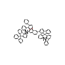 c1ccc(-c2ccccc2-c2ccccc2N(c2ccc3cc(-c4ccc5c(c4)C4(c6ccccc6-5)c5ccccc5-n5c6ccccc6c6cccc4c65)ccc3c2)c2cccc3c2-c2ccccc2C3(c2ccccc2)c2ccccc2)cc1